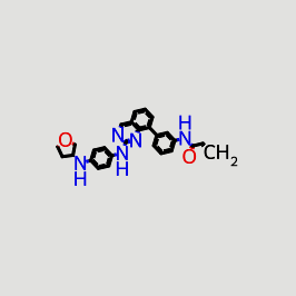 C=CC(=O)Nc1cccc(-c2cccc3cnc(Nc4ccc(N[C@@H]5CCOC5)cc4)nc23)c1